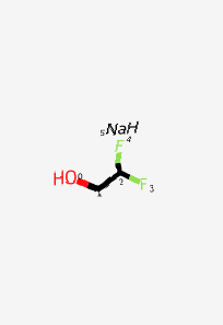 OCC(F)F.[NaH]